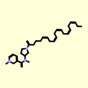 C=C(CCC/C=C\C/C=C\C/C=C\C/C=C\C/C=C\CC)N1CCC(N(C)C(=C)C2=CC=CN(C)C2)C1